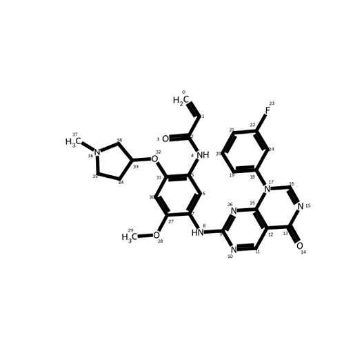 C=CC(=O)Nc1cc(Nc2ncc3c(=O)ncn(-c4cccc(F)c4)c3n2)c(OC)cc1OC1CCN(C)C1